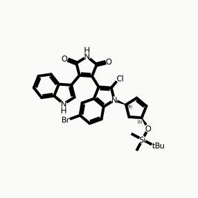 CC(C)(C)[Si](C)(C)O[C@@H]1C=C[C@H](n2c(Cl)c(C3=C(c4c[nH]c5ccccc45)C(=O)NC3=O)c3cc(Br)ccc32)C1